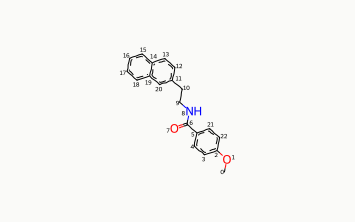 COc1ccc(C(=O)NCCc2ccc3ccccc3c2)cc1